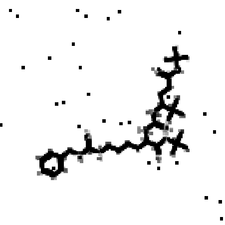 CC(C)(C)OC(=O)CCC(NC(=O)NC(CCCCNC(=O)OCc1ccccc1)C(=O)OC(C)(C)C)C(C)(C)C